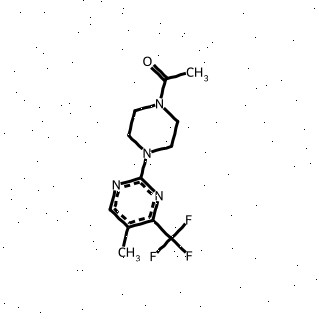 CC(=O)N1CCN(c2ncc(C)c(C(F)(F)F)n2)CC1